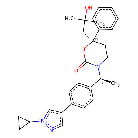 C[C@@H](c1ccc(-c2cnn(C3CC3)c2)cc1)N1CC[C@](CC(C)(C)O)(c2ccccc2)OC1=O